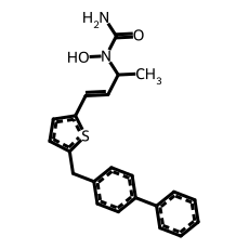 CC(C=Cc1ccc(Cc2ccc(-c3ccccc3)cc2)s1)N(O)C(N)=O